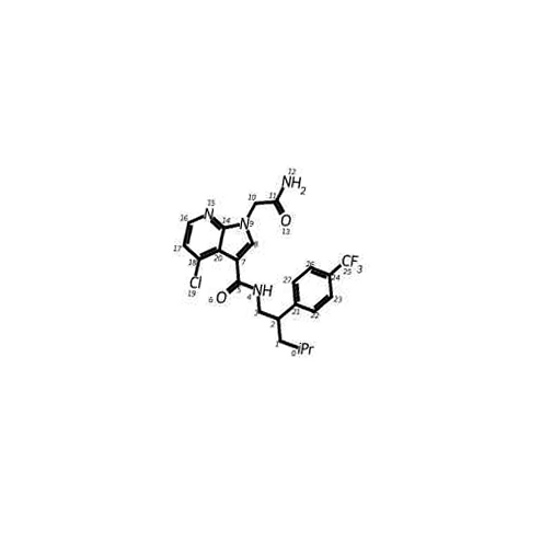 CC(C)CC(CNC(=O)c1cn(CC(N)=O)c2nccc(Cl)c12)c1ccc(C(F)(F)F)cc1